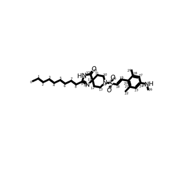 CCCCCCCCCC1=NC2(CCN(S(=O)(=O)/C=C/c3c(C)cc(NC)cc3C)CC2)C(=O)N1